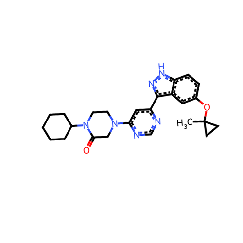 CC1(Oc2ccc3[nH]nc(-c4cc(N5CCN(C6CCCCC6)C(=O)C5)ncn4)c3c2)CC1